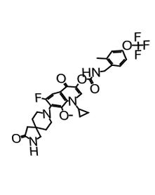 COc1c(N2CCC3(CC2)CNC(=O)C3)c(F)cc2c(=O)c(OC(=O)NCc3ccc(OC(F)(F)F)cc3C)cn(C3CC3)c12